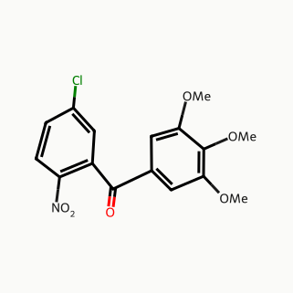 COc1cc(C(=O)c2cc(Cl)ccc2[N+](=O)[O-])cc(OC)c1OC